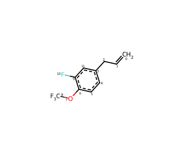 C=CCc1ccc(OC(F)(F)F)c(F)c1